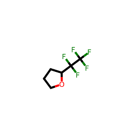 FC(F)(F)C(F)(F)C1CCCO1